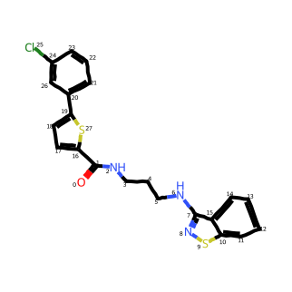 O=C(NCCCNc1nsc2ccccc12)c1ccc(-c2cccc(Cl)c2)s1